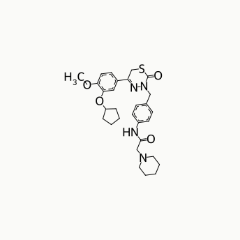 COc1ccc(C2=NN(Cc3ccc(NC(=O)CN4CCCCC4)cc3)C(=O)SC2)cc1OC1CCCC1